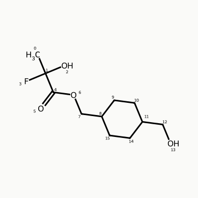 CC(O)(F)C(=O)OCC1CCC(CO)CC1